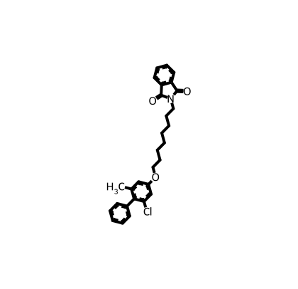 Cc1cc(OCCCCCCCCN2C(=O)c3ccccc3C2=O)cc(Cl)c1-c1ccccc1